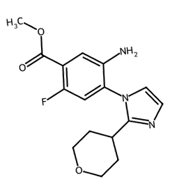 COC(=O)c1cc(N)c(-n2ccnc2C2CCOCC2)cc1F